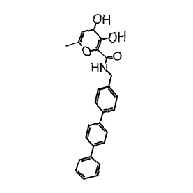 CC1=CC(O)C(O)=C(C(=O)NCc2ccc(-c3ccc(-c4ccccc4)cc3)cc2)O1